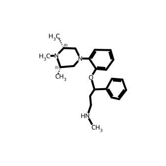 CNCCC(Oc1ccccc1N1C[C@@H](C)N(C)[C@@H](C)C1)c1ccccc1